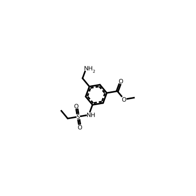 CCS(=O)(=O)Nc1cc(CN)cc(C(=O)OC)c1